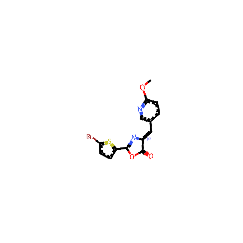 COc1ccc(/C=C2\N=C(c3ccc(Br)s3)OC2=O)cn1